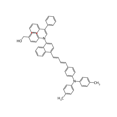 Cc1ccc(N(c2ccc(C)cc2)c2ccc(/C=C/C=C/c3ccc(N(C=C(c4ccccc4)c4ccccc4)c4ccc(CO)cc4)c4ccccc34)cc2)cc1